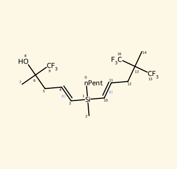 CCCCC[Si](C)(/C=C/CC(C)(O)C(F)(F)F)/C=C/CC(C)(C(F)(F)F)C(F)(F)F